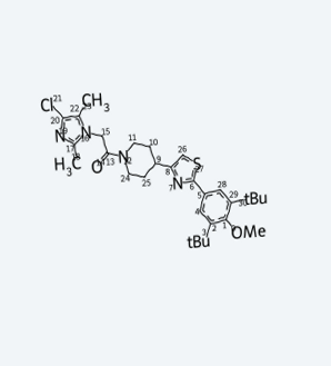 COc1c(C(C)(C)C)cc(-c2nc(C3CCN(C(=O)Cn4c(C)nc(Cl)c4C)CC3)cs2)cc1C(C)(C)C